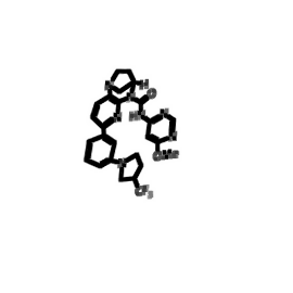 COc1cc(NC(=O)N2c3nc(-c4cccc(N5CCC(C(F)(F)F)C5)c4)ccc3N3CC[C@H]2C3)ncn1